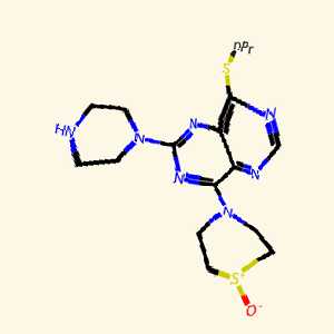 CCCSc1ncnc2c(N3CC[S+]([O-])CC3)nc(N3CCNCC3)nc12